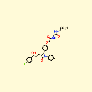 O=C(O)CNC(=O)CNC(=O)COc1ccc(C2C(CCC(O)c3ccc(F)cc3)C(=O)N2c2ccc(F)cc2)cc1